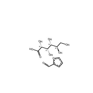 O=C(O)[C@H](O)[C@@H](O)[C@H](O)[C@H](O)CO.O=Cc1ccco1